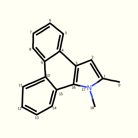 Cc1cc2c3ccccc3c3ccccc3c2n1C